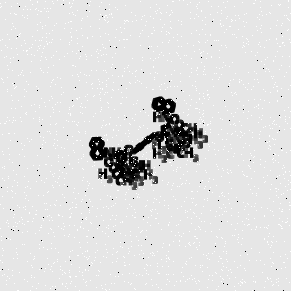 CN[C@@H](C)C(=O)N[C@H](C(=O)N1C[C@@H](OCC#CC#CCO[C@H]2C[C@@H](C(=O)N[C@@H]3CCCc4ccccc43)N(C(=O)[C@@H](NC(=O)[C@H](C)N(C)C)C(C)(C)C)C2)C[C@H]1C(=O)N[C@@H]1CCCc2ccccc21)C(C)(C)C